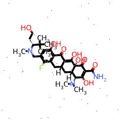 CN(C)[C@@H]1C(O)=C(C(N)=O)C(=O)[C@@]2(O)C(O)=C3C(=O)c4c(O)cc(CN(C)[C@H](CCO)C(C)(C)C)c(F)c4C[C@H]3C[C@@H]12